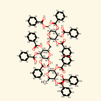 CC1O[C@H](CO[C@@H]2O[C@H](CO[C@@H]3O[C@H](COC(=O)c4ccccc4)[C@@H](OC(=O)c4ccccc4)[C@H](OC(=O)c4ccccc4)[C@H]3OC(=O)c3ccccc3)[C@@H](OC(=O)c3ccccc3)[C@H](OC(=O)c3ccccc3)[C@H]2OC(=O)c2ccccc2)[C@@H](OC(=O)c2ccccc2)[C@H](OC(=O)c2ccccc2)[C@H]1OC(=O)c1ccccc1